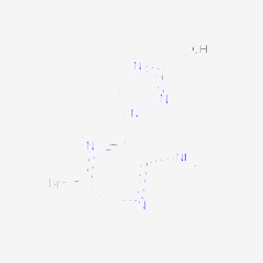 Cc1ncn(-c2nc(Br)cnc2N)n1